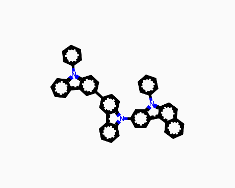 c1ccc(-n2c3ccccc3c3cc(-c4ccc5c(c4)c4ccccc4n5-c4ccc5c6c7ccccc7ccc6n(-c6ccccc6)c5c4)ccc32)cc1